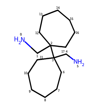 NCC1(C2(CN)CCCCCC2)CCCCCC1